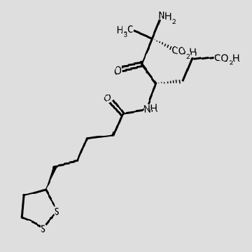 C[C@](N)(C(=O)O)C(=O)[C@H](CCC(=O)O)NC(=O)CCCC[C@@H]1CCSS1